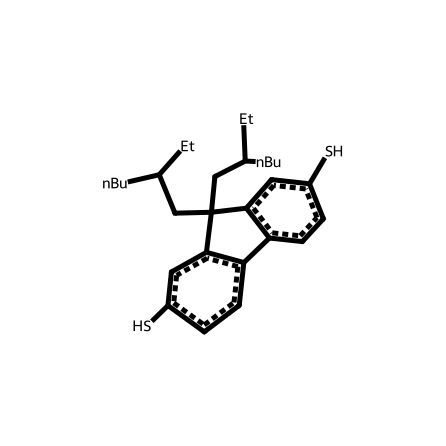 CCCCC(CC)CC1(CC(CC)CCCC)c2cc(S)ccc2-c2ccc(S)cc21